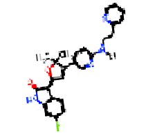 CCN(CCc1ccccn1)c1ccc(C2=CC(=C3C(=O)Nc4cc(F)ccc43)OC2(C)C)cn1